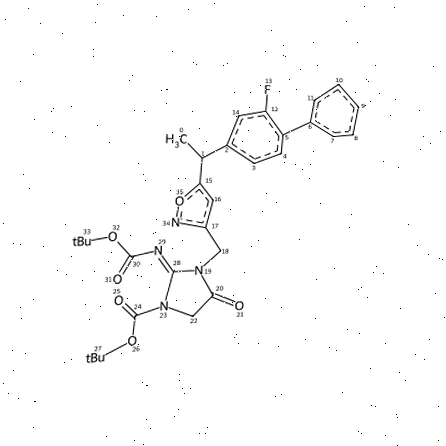 CC(c1ccc(-c2ccccc2)c(F)c1)c1cc(CN2C(=O)CN(C(=O)OC(C)(C)C)/C2=N\C(=O)OC(C)(C)C)no1